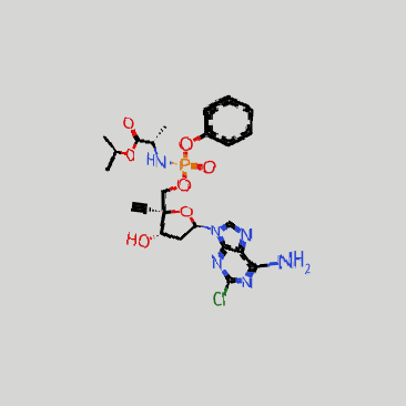 C#C[C@]1(CO[P@@](=O)(N[C@@H](C)C(=O)OC(C)C)Oc2ccccc2)O[C@@H](n2cnc3c(N)nc(Cl)nc32)C[C@@H]1O